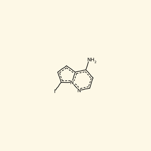 Nc1ccnn2c(I)ccc12